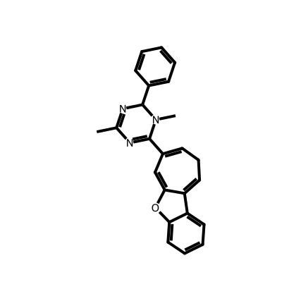 CC1=NC(c2ccccc2)N(C)C(C2=CCC=c3c(oc4ccccc34)=C2)=N1